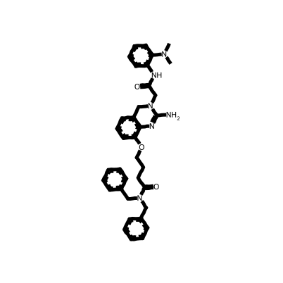 CN(C)c1ccccc1NC(=O)CN1Cc2cccc(OCCCC(=O)N(Cc3ccccc3)Cc3ccccc3)c2N=C1N